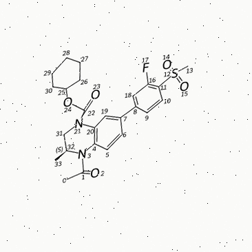 CC(=O)N1c2ccc(-c3ccc(S(C)(=O)=O)c(F)c3)cc2N(C(=O)OC2CCCCC2)C[C@@H]1C